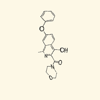 Cc1nc(C(=O)N2CCOCC2)c(O)c2ccc(Oc3ccccc3)cc12